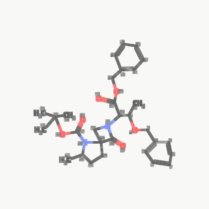 CC(OCc1ccccc1)C(C(=O)OCc1ccccc1)N1CC2(CCC(C)N2C(=O)OC(C)(C)C)C1=O